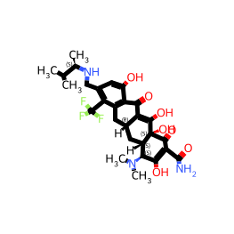 CC(C)[C@H](C)NCc1cc(O)c2c(c1C(F)(F)F)C[C@H]1C[C@H]3[C@H](N(C)C)C(O)=C(C(N)=O)C(=O)[C@@]3(O)C(O)=C1C2=O